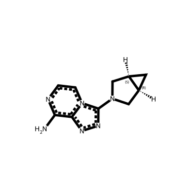 Nc1nccn2c(N3C[C@H]4C[C@H]4C3)nnc12